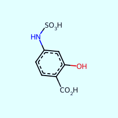 O=C(O)c1ccc(NS(=O)(=O)O)cc1O